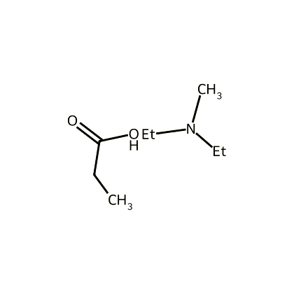 CCC(=O)O.CCN(C)CC